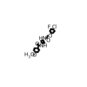 COc1ccc(C(=O)NC23CC(NC(=O)COc4ccc(Cl)c(F)c4)(C2)C3)cc1